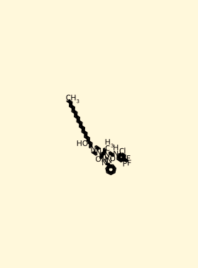 CCCCCCCCCCCCCCCCCC(O)CCN1CCN(c2c(CC)n(CC(=O)Nc3ccc(C(F)(F)F)cc3Cl)c3nc(C4=CCCCCC4)nn3c2=O)CC1